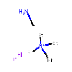 CC[N+](CC)(CC)CC.CN.I.[I-]